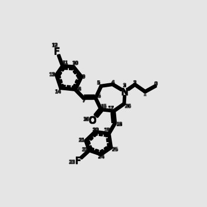 CCCN1CCC(=Cc2ccc(F)cc2)C(=O)C(=Cc2ccc(F)cc2)C1